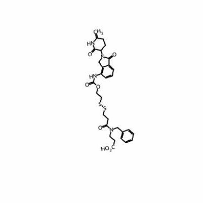 C=C1CCC(N2Cc3c(NC(=O)OCCSSCCC(=O)N(CCC(=O)O)Cc4ccccc4)cccc3C2=O)C(=O)N1